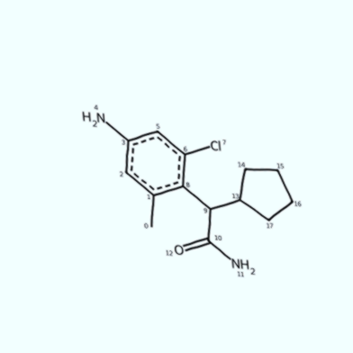 Cc1cc(N)cc(Cl)c1C(C(N)=O)C1CCCC1